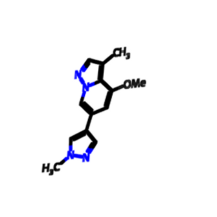 COc1cc(-c2cnn(C)c2)cn2ncc(C)c12